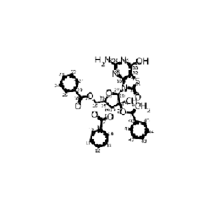 C=C(O[C@]1(C)[C@H](OC(=O)c2ccccc2)[C@@H](COC(=O)c2ccccc2)O[C@H]1n1c(=O)sc2c(O)nc(N)nc21)c1ccccc1